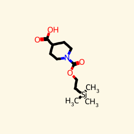 C[Si](C)(C)CCOC(=O)N1CCC(C(=O)O)CC1